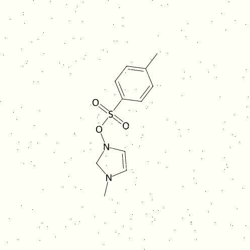 Cc1ccc(S(=O)(=O)ON2C=CN(C)C2)cc1